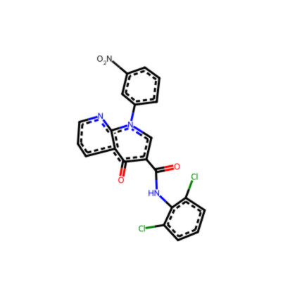 O=C(Nc1c(Cl)cccc1Cl)c1cn(-c2cccc([N+](=O)[O-])c2)c2ncccc2c1=O